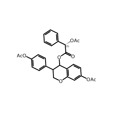 CC(=O)Oc1ccc(C2COc3cc(OC(C)=O)ccc3C2OC(=O)[C@@H](OC(C)=O)c2ccccc2)cc1